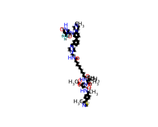 CC(=O)O[C@@H]1C[C@@H](C(=O)N[C@@H](C)c2ccc(-c3scnc3C)cc2)N(C(=O)[C@@H](NC(=O)CCCCCCCCCC(=O)NCCN2CCN(Cc3cccc(-c4ccc(N5CCN(C)CC5)c(NC(=O)c5c[nH]c(=O)cc5C(F)(F)F)c4)c3)CC2)C(C)(C)C)C1